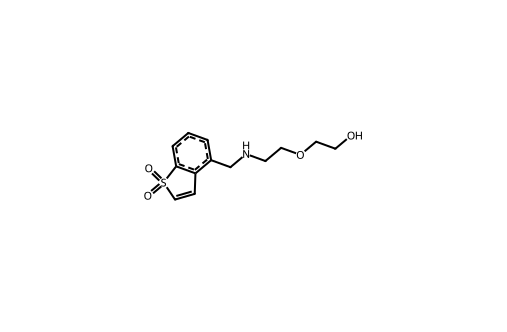 O=S1(=O)C=Cc2c(CNCCOCCO)cccc21